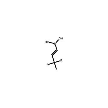 OB(O)/C=C/C(F)(F)F